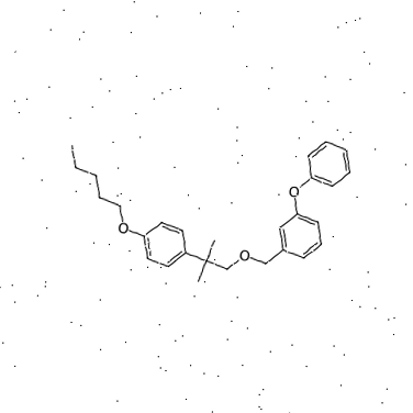 CCCCCOc1ccc(C(C)(C)COCc2cccc(Oc3ccccc3)c2)cc1